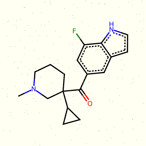 CN1CCCC(C(=O)c2cc(F)c3[nH]ccc3c2)(C2CC2)C1